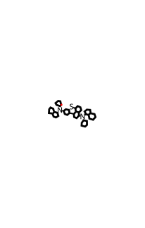 c1ccc(N(c2ccc3c(c2)Sc2cccc4c(N(c5ccccc5)c5cccc6ccccc56)ccc-3c24)c2cccc3ccccc23)cc1